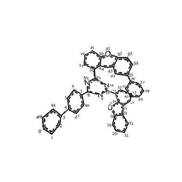 c1ccc(-c2ccc(-c3nc(-c4cccc5c4oc4ccccc45)nc(-c4cccc5oc6ccc(-c7ccccc7)cc6c45)n3)cc2)cc1